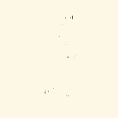 CC(O)CC(=S)CCC(=S)CCC(=S)CCO